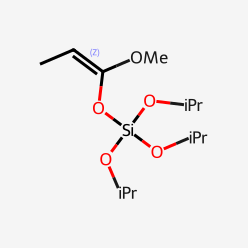 C/C=C(/OC)O[Si](OC(C)C)(OC(C)C)OC(C)C